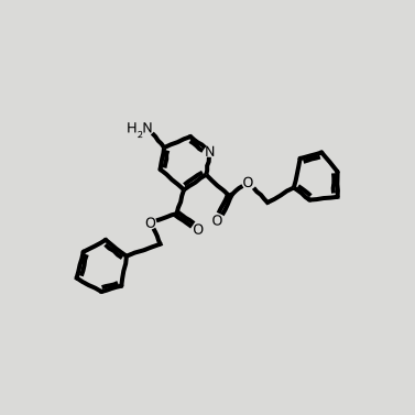 Nc1cnc(C(=O)OCc2ccccc2)c(C(=O)OCc2ccccc2)c1